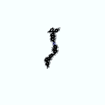 Cc1cccc(N(c2ccc(F)cc2)c2ccc3c(c2)C(C)(C)c2cc(/C=C/c4ccc5c(c4)C(C)(C)c4cc(Cc6ccc7c(c6)C(C)(C)c6c(-c8ccc(F)cc8)cccc6-7)ccc4-5)ccc2-3)c1